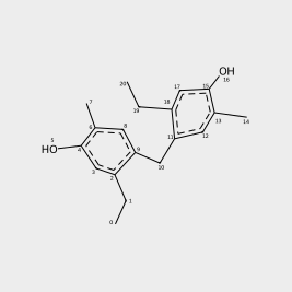 CCc1cc(O)c(C)cc1Cc1cc(C)c(O)cc1CC